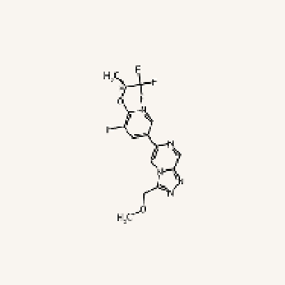 COCc1nnc2cnc(-c3cnc(O[C@@H](C)C(F)(F)F)c(F)c3)cn12